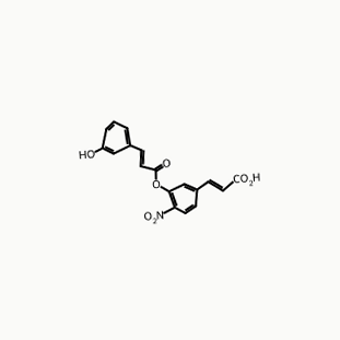 O=C(O)/C=C/c1ccc([N+](=O)[O-])c(OC(=O)/C=C/c2cccc(O)c2)c1